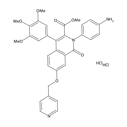 COC(=O)c1c(-c2cc(OC)c(OC)c(OC)c2)c2ccc(OCc3ccncc3)cc2c(=O)n1-c1ccc(N)cc1.Cl.Cl